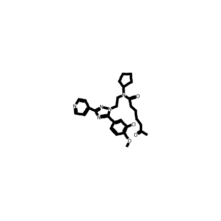 COc1ccc(-c2nc(-c3ccncc3)nn2CCN(C(=O)CCCCC(C)=O)C2CCCC2)cc1Cl